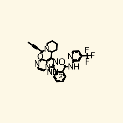 CC#CC(=O)N1CCCCC1C1=C2C=NC=C[N+]2(N)C(c2ccccc2C(=O)Nc2cc(C(F)(F)F)ccn2)=N1